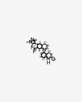 Cn1cc(-c2cc3c(cc2C(F)F)N(c2cccc4c2CCC(=O)N4)CCC3)cn1